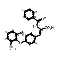 O=C(O)/C(=C/c1ccc(Oc2c(Br)cccc2[N+](=O)[O-])cc1)NC(=O)c1ccccc1